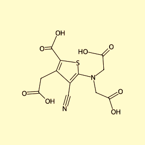 N#Cc1c(N(CC(=O)O)CC(=O)O)sc(C(=O)O)c1CC(=O)O